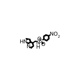 O=[N+]([O-])c1ccc(S(=O)(=O)NCc2ccnc3[nH]ccc23)cc1